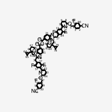 N#Cc1ccc(COc2cccc(-c3cc(F)c(Cc4nc5ccc(C(=O)OC(=O)c6ccc7nc(Cc8cc(F)c(-c9cccc(OCc%10ccc(C#N)cc%10F)n9)cc8F)n(CC8(C9CC9)CCCO8)c7c6)cc5n4CC4(C5CC5)CCCO4)cc3F)n2)c(F)c1